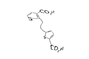 O=C(O)c1ccc(CCc2sccc2C(=O)O)s1